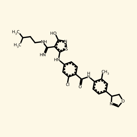 Cc1cc(C2COC=N2)ccc1NC(=O)c1ccc(Nc2snc(O)c2C(=N)NCCC(C)C)cc1Cl